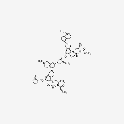 C=CC(=O)N1C[C@@H]2COc3c(OC[C@@H]4CCCN4C)nc4c(c3N2C[C@H]1C)CCN(c1cc(C2C[C@@H](COc3nc5c(c6c3OC[C@H]3CN(C(=O)C=C)[C@H](C)CN63)CCN(c3cccc6c3CCCN6C)C5)N(C)C2)cc2c1CCN(C)C2)C4